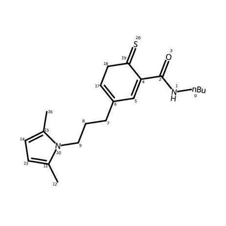 CCCCNC(=O)C1=CC(CCCn2c(C)ccc2C)=CCC1=S